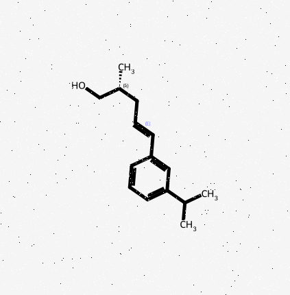 CC(C)c1cccc(/C=C/C[C@@H](C)CO)c1